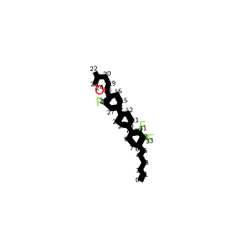 C=CCCCCc1ccc(-c2ccc(-c3ccc(C4CCC(C)CO4)c(F)c3)cc2)c(F)c1F